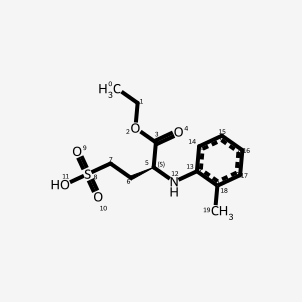 CCOC(=O)[C@H](CCS(=O)(=O)O)Nc1ccccc1C